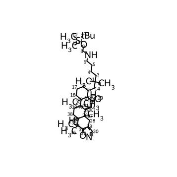 CC(C)(CCCCNCO[Si](C)(C)C(C)(C)C)C[C@@H]1CCC[C@]2(C)[C@@H]1C(=O)C=C1[C@@]3(C)Cc4cnoc4C(C)(C)[C@@H]3CC[C@]12C